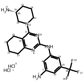 Cl.Cl.Nc1cc(Nc2nc3c(c(N4CCC[C@@H](N)C4)n2)CCCC3)cc(C(F)(F)F)c1